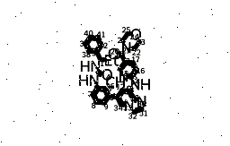 CCC(NC(=O)Nc1cccc(-c2cc(Nc3ccc(C(=O)N4CCOCC4)cn3)c3nccn3c2)c1C)c1ccccc1